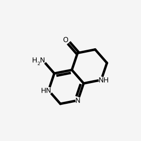 NC1=C2C(=O)CCNC2=NCN1